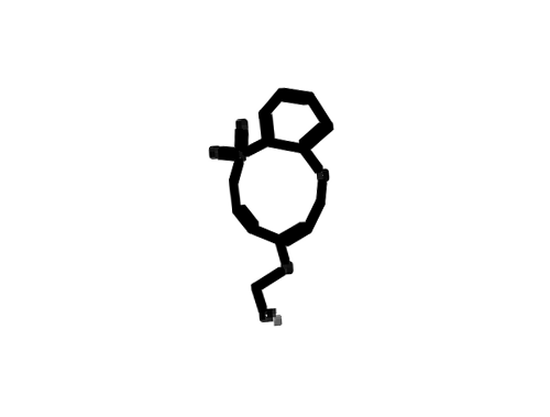 O=S1(=O)C/C=C\C(OCC(F)(F)F)=C/COc2ccccc21